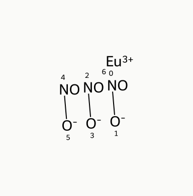 O=N[O-].O=N[O-].O=N[O-].[Eu+3]